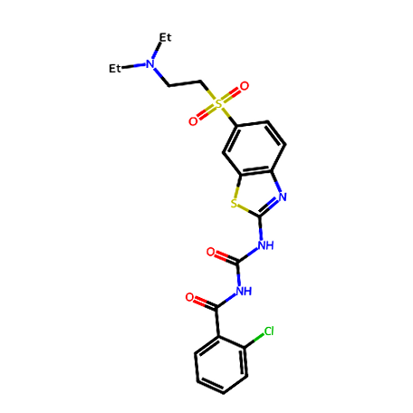 CCN(CC)CCS(=O)(=O)c1ccc2nc(NC(=O)NC(=O)c3ccccc3Cl)sc2c1